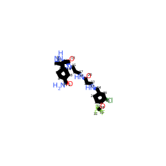 NC(=O)c1ccc2c3cn[nH]c3c(=O)n(CCCNC(=O)CCNCc3ccc(OC(F)(F)F)c(Cl)c3)c2c1